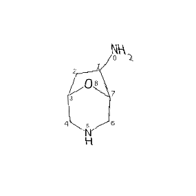 NC1CC2CNCC1O2